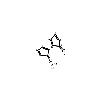 O=C1C=CC=C1.O=C1C=CC=C1.[Zr+3]